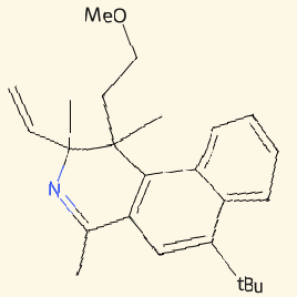 C=CC1(C)N=C(C)c2cc(C(C)(C)C)c3ccccc3c2C1(C)CCOC